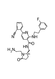 N#Cc1ccccc1-c1ccc(C(=O)NC[C@H]2CCC(=O)N2CCN)c(NCCc2cccc(F)c2)n1